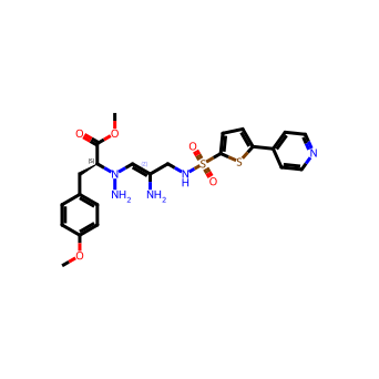 COC(=O)[C@H](Cc1ccc(OC)cc1)N(N)/C=C(\N)CNS(=O)(=O)c1ccc(-c2ccncc2)s1